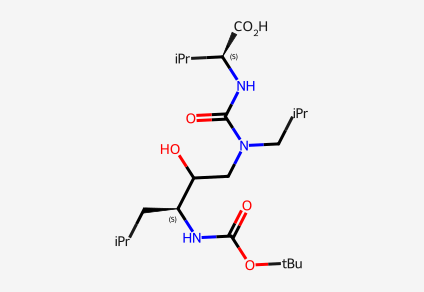 CC(C)C[C@H](NC(=O)OC(C)(C)C)C(O)CN(CC(C)C)C(=O)N[C@H](C(=O)O)C(C)C